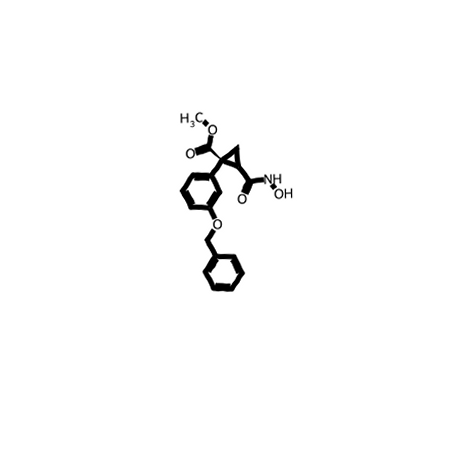 COC(=O)[C@@]1(c2cccc(OCc3ccccc3)c2)CC1C(=O)NO